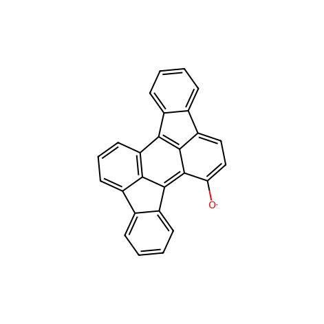 [O]c1ccc2c3ccccc3c3c4cccc5c6ccccc6c(c1c23)c54